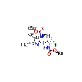 C#Cc1nn(C2CC(CF)N(C(=O)OC(C)(C)C)C2)c(N(C)C(=O)OC(C)(C)C)c1C#N